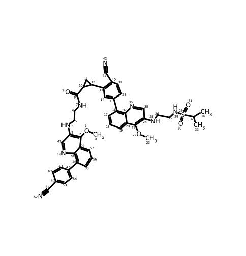 COc1c(NCCNC(=O)C2CC2c2cc(-c3cccc4c(OC)c(NCCNS(=O)(=O)C(C)C)cnc34)ccc2C#N)cnc2c(-c3ccc(C#N)cc3)cccc12